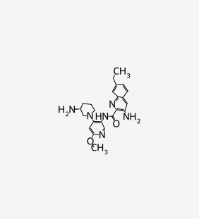 CCc1ccc2cc(N)c(C(=O)Nc3cnc(OC)cc3N3CCC[C@H](N)C3)nc2c1